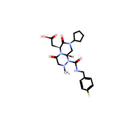 CN1CC(=O)N2[C@@H](CC(=O)O)C(=O)N(C3CCCC3)C[C@@H]2N1C(=O)NCc1ccc(F)cc1